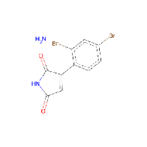 N.O=C1C=C(c2ccc(Br)cc2Br)C(=O)N1